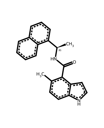 Cc1ccc2[nH]ccc2c1C(=O)N[C@H](C)c1cccc2ccccc12